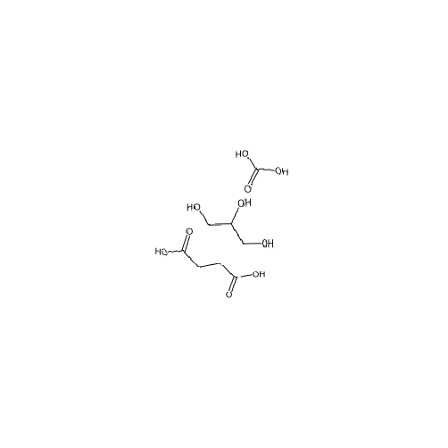 O=C(O)CCC(=O)O.O=C(O)O.OCC(O)CO